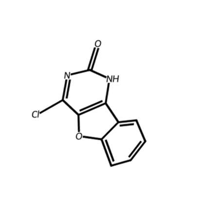 O=c1nc(Cl)c2oc3ccccc3c2[nH]1